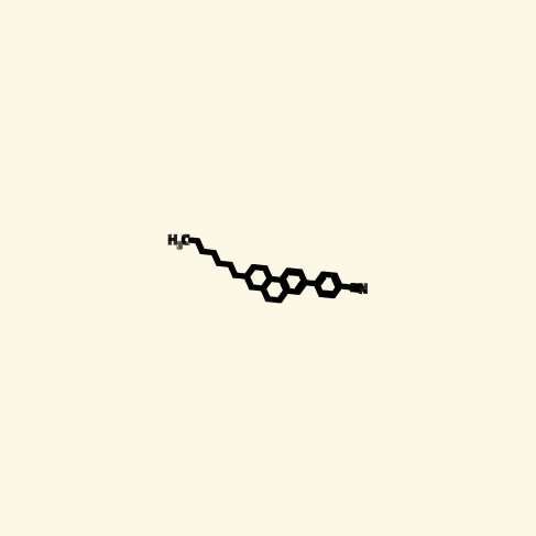 CCCCCCCC1CCC2c3ccc(-c4ccc(C#N)cc4)cc3CCC2C1